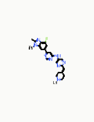 CCN1CCC(=Cc2ncc(Nc3cc(-c4cc(F)c5nc(C)n(C(C)C)c5c4)ncn3)cn2)CC1